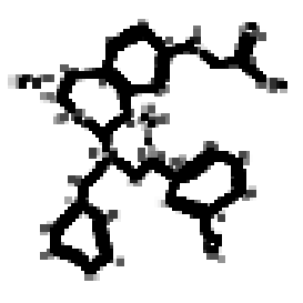 CCCC(=O)COc1ccc2c(c1)CC(N(Cc1ccccc1)C[C@H](O)c1cccc(Cl)c1)CCC2.Cl